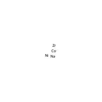 [Co].[Na].[Ni].[Zr]